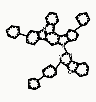 c1ccc(-c2ccc(-c3nc(-n4c5ccc(-c6ccccc6)cc5c5c6c7ccccc7n7c8cc(-c9ccccc9)ccc8c(cc54)c67)nc4c3oc3ccccc34)cc2)cc1